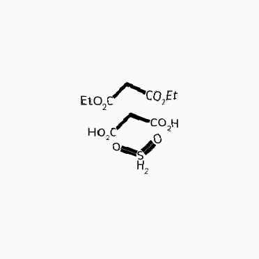 CCOC(=O)CC(=O)OCC.O=C(O)CC(=O)O.O=[SH2]=O